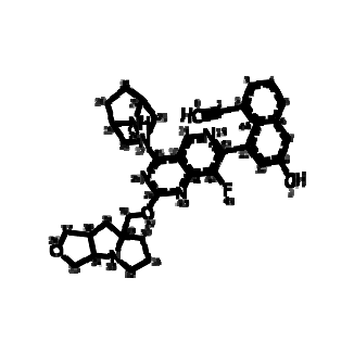 C#Cc1cccc2cc(O)cc(-c3ncc4c(N5CC6CCC(C5)N6)nc(OCC56CCCN5C5COCC5C6)nc4c3F)c12